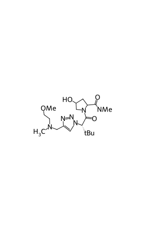 CNC(=O)C1CC(O)CN1C(=O)[C@@H](n1cc(CN(C)CCOC)nn1)C(C)(C)C